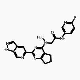 CN(CC(=O)Nc1ccc(F)nc1)c1nc(-c2cc3cn[nH]c3cn2)nc2c1CCC2